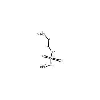 CCCCCCCCOS(=O)(=O)OCCCC